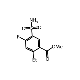 CCc1cc(F)c(S(N)(=O)=O)cc1C(=O)OC